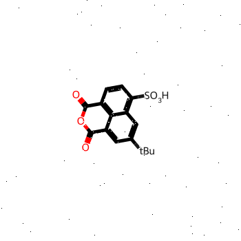 CC(C)(C)c1cc2c3c(ccc(S(=O)(=O)O)c3c1)C(=O)OC2=O